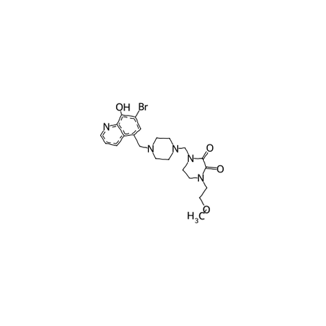 COCCN1CCN(CN2CCN(Cc3cc(Br)c(O)c4ncccc34)CC2)C(=O)C1=O